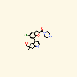 CC1(CO)Cc2nccc(-c3cc(Cl)cc4c3OC(C(=O)N3CCNCC3)C4)c2C1